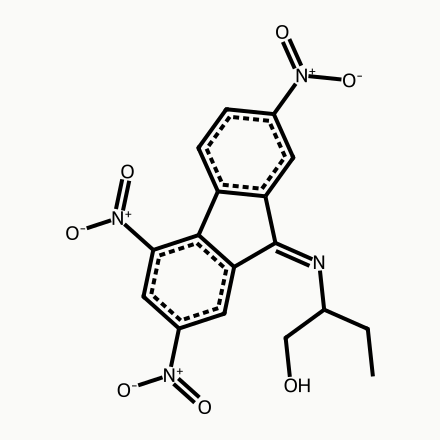 CCC(CO)N=C1c2cc([N+](=O)[O-])ccc2-c2c1cc([N+](=O)[O-])cc2[N+](=O)[O-]